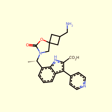 C[C@@H](c1cccc2c(-c3ccncc3)c(C(=O)O)[nH]c12)N1CC2(CC(CN)C2)OC1=O